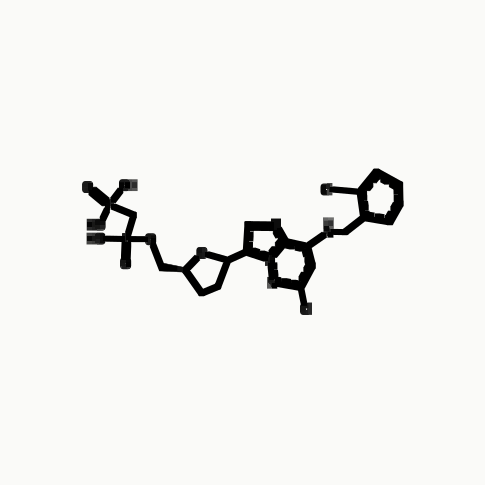 O=P(O)(O)CP(=O)(O)OC[C@@H]1CCC(c2cnc3c(NCc4ccccc4Cl)cc(Cl)nn23)O1